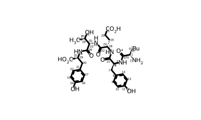 CC[C@H](C)[C@H](N)C(=O)N[C@@H](Cc1ccc(O)cc1)C(=O)N[C@@H](CCC(=O)O)C(=O)N[C@H](C(=O)N[C@@H](Cc1ccc(O)cc1)C(=O)O)[C@@H](C)O